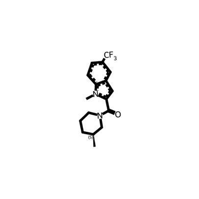 C[C@H]1CCCN(C(=O)c2cc3cc(C(F)(F)F)ccc3n2C)C1